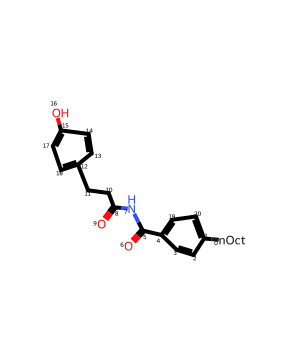 CCCCCCCCc1ccc(C(=O)NC(=O)CCc2ccc(O)cc2)cc1